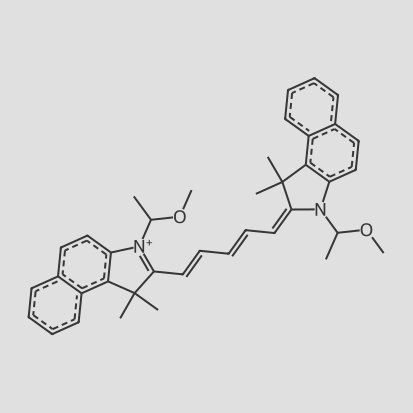 COC(C)N1/C(=C/C=C/C=C/C2=[N+](C(C)OC)c3ccc4ccccc4c3C2(C)C)C(C)(C)c2c1ccc1ccccc21